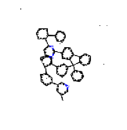 Cc1cncc(-c2cccc(-c3ccccc3-c3cccc(C4(c5ccccc5)c5ccccc5-c5ccc(-c6nc(C)cc(-c7ccccc7-c7ccccc7)n6)cc54)c3)c2)c1